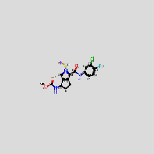 COC(=O)NC1CCc2c1cn(SI)c2C(=O)Nc1ccc(F)c(Cl)c1